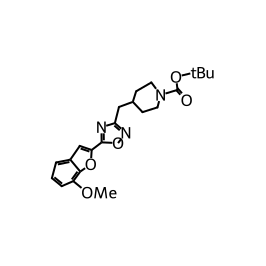 COc1cccc2cc(-c3nc(CC4CCN(C(=O)OC(C)(C)C)CC4)no3)oc12